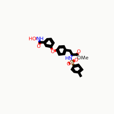 COC(=O)C(Cc1ccc(Oc2cccc(C(=O)NO)c2)cc1)NS(=O)(=O)c1ccc(C)cc1